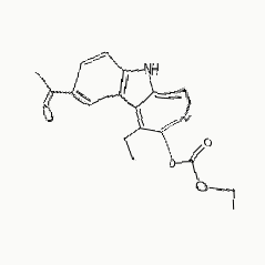 CCOC(=O)Oc1ncc2[nH]c3ccc(C(C)=O)cc3c2c1CC